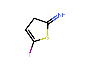 N=C1CC=C(I)S1